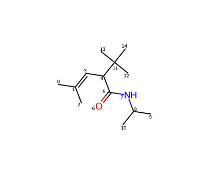 CC(C)=CC(C(=O)NC(C)C)C(C)(C)C